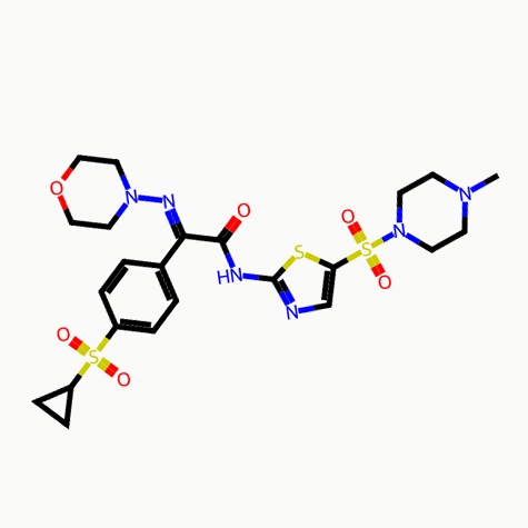 CN1CCN(S(=O)(=O)c2cnc(NC(=O)/C(=N/N3CCOCC3)c3ccc(S(=O)(=O)C4CC4)cc3)s2)CC1